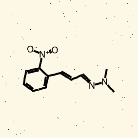 CN(C)N=CC=Cc1ccccc1[N+](=O)[O-]